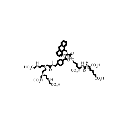 O=C(O)CCCC[C@H](NC(=O)N[C@@H](CCCONC(=O)[C@H](Cc1c2ccccc2cc2ccccc12)NC(=O)C1CCC(CNC(=O)CN(CCNCC(=O)O)CCN(CCNCC(=O)O)CC(=O)O)CC1)C(=O)O)C(=O)O